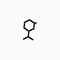 CC(C)N1CCCNS1